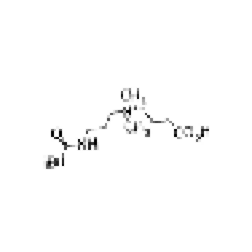 CCC(C)C(=O)NCCC[N+](C)(C)CCCC(=O)O